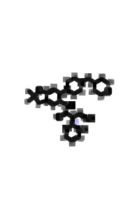 CC1(C)Cc2cc(NC(=O)/C(C=N)=C3\N=CC=CN3)c(N3CCN(CC4CCOCC4)CC3)cc2O1